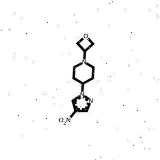 O=[N+]([O-])c1cnn(C2CCN(C3COC3)CC2)c1